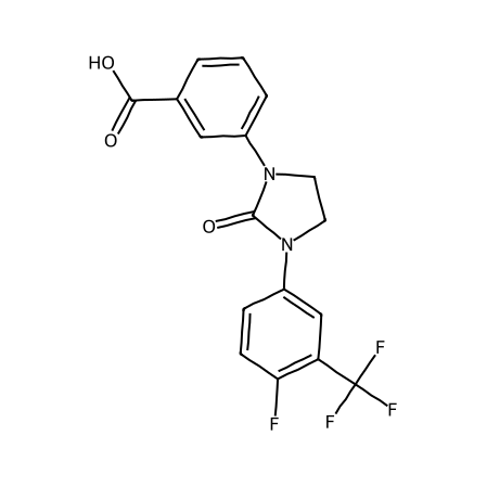 O=C(O)c1cccc(N2CCN(c3ccc(F)c(C(F)(F)F)c3)C2=O)c1